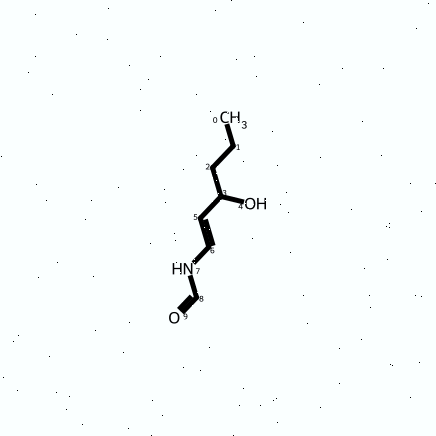 CCCC(O)C=CNC=O